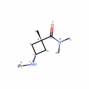 CC(C)N[C@H]1C[C@](C)(C(=O)N(C)C)C1